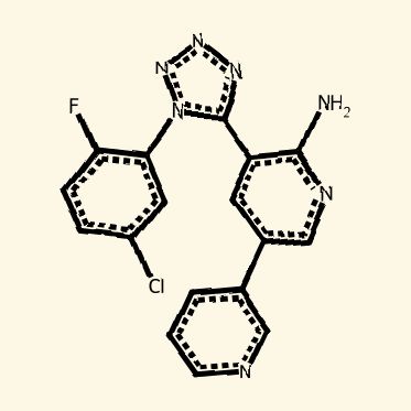 Nc1ncc(-c2cccnc2)cc1-c1nnnn1-c1cc(Cl)ccc1F